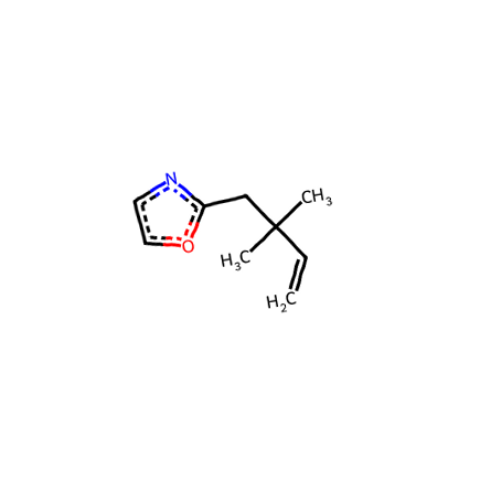 C=CC(C)(C)Cc1ncco1